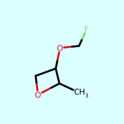 CC1OCC1OCF